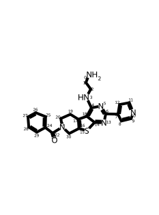 NCCNc1nc(-c2ccncc2)nc2sc3c(c12)CCN(C(=O)c1ccccc1)C3